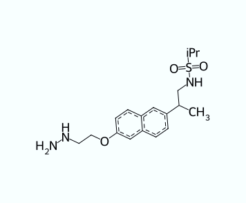 CC(CNS(=O)(=O)C(C)C)c1ccc2cc(OCCNN)ccc2c1